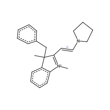 C[N+]1=C(/C=C/N2CCCC2)C(C)(Cc2ccccc2)c2ccccc21